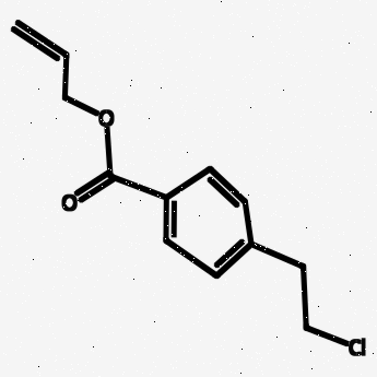 C=CCOC(=O)c1ccc(CCCl)cc1